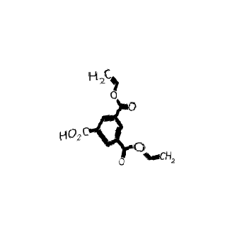 C=COC(=O)c1cc(C(=O)O)cc(C(=O)OC=C)c1